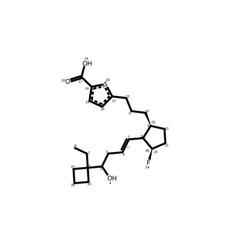 CCC1(C(O)C/C=C/C2[C@@H](CCCc3ccc(C(=O)O)s3)CC[C@H]2F)CCC1